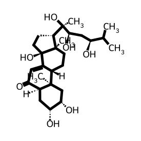 CC(C)[C@@H](O)C[C@@H](O)[C@](C)(O)[C@H]1CC[C@@]2(O)C3=CC(=O)[C@@H]4C[C@@H](O)[C@@H](O)C[C@]4(C)[C@H]3CC[C@]12C